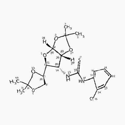 CC1(C)O[C@H]2O[C@H]([C@H]3COC(C)(C)O3)[C@@H](NC(=S)Nc3ccccc3Cl)[C@H]2O1